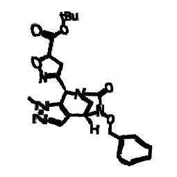 Cn1ncc2c1[C@@H](C1=NOC(C(=O)OC(C)(C)C)C1)N1C[C@@H]2N(OCc2ccccc2)C1=O